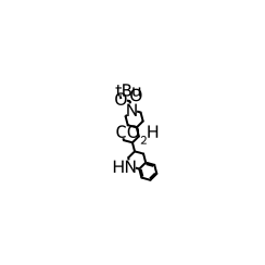 CC(C)(C)OC(=O)N1CCC(CC(CC(=O)O)C2CNc3ccccc3C2)CC1